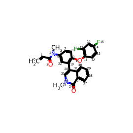 C=CC(=O)N(C)c1ccc(Oc2ccc(F)cc2F)c(-c2cn(C)c(=O)c3ccccc23)c1